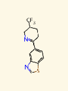 FC(F)(F)C1CCC(c2ccc3scnc3c2)=NC1